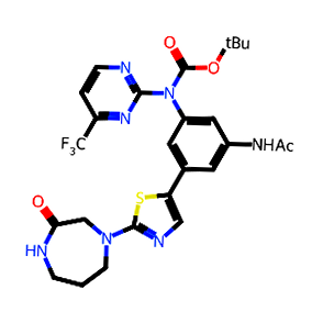 CC(=O)Nc1cc(-c2cnc(N3CCCNC(=O)C3)s2)cc(N(C(=O)OC(C)(C)C)c2nccc(C(F)(F)F)n2)c1